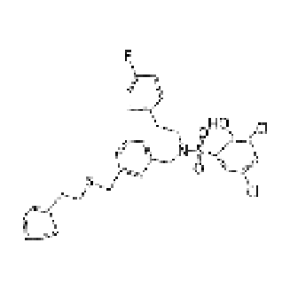 O=S(=O)(c1cc(Cl)cc(Cl)c1O)N(CCc1ccc(F)cc1)Cc1cccc(CSCCc2ccccc2)c1